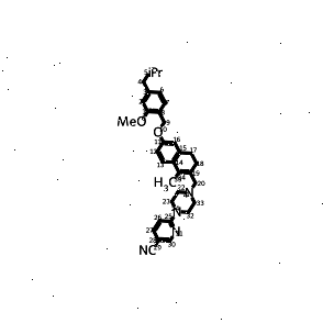 COc1cc(CC(C)C)ccc1COc1ccc2c(c1)CCC(CN1CCN(c3ccc(C#N)cn3)CC1)=C2C